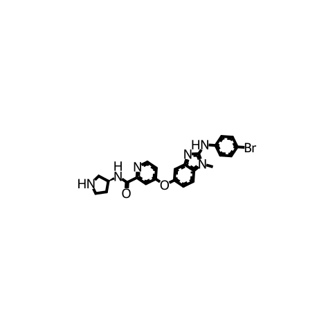 Cn1c(Nc2ccc(Br)cc2)nc2cc(Oc3ccnc(C(=O)N[C@H]4CCNC4)c3)ccc21